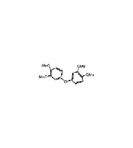 COc1ccc(Oc2ccc(OC)c(OC)c2)cc1OC